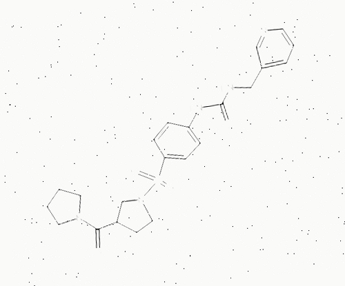 O=C(NCc1cccnc1)Nc1ccc(S(=O)(=O)N2CCC(C(=O)N3CCCC3)C2)cc1